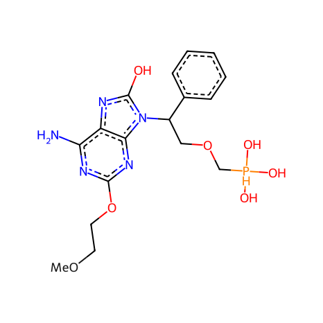 COCCOc1nc(N)c2nc(O)n(C(COC[PH](O)(O)O)c3ccccc3)c2n1